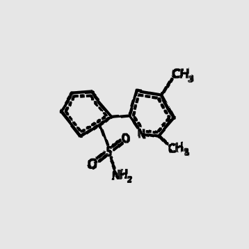 Cc1cc(C)nc(-c2ccccc2S(N)(=O)=O)c1